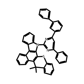 CC1(C)c2ccccc2Sc2c1c1ccccc1c1c3ccccc3n(-c3nc(-c4ccccc4)cc(-c4cccc(-c5ccccc5)c4)n3)c21